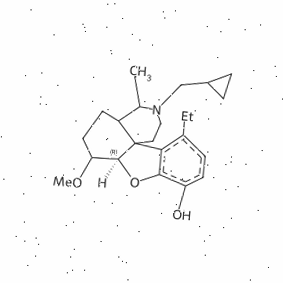 CCc1ccc(O)c2c1C13CCN(CC4CC4)C(C)C1CCC(OC)[C@@H]3O2